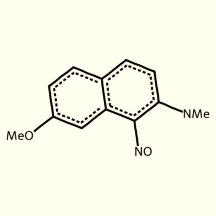 CNc1ccc2ccc(OC)cc2c1N=O